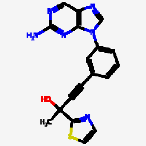 CC(O)(C#Cc1cccc(-n2cnc3cnc(N)nc32)c1)c1nccs1